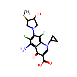 CSC1CN(c2c(F)c(N)c3c(=O)c(C(=O)O)cn(C4CC4)c3c2F)CC1O